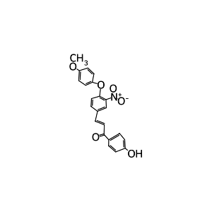 COc1ccc(Oc2ccc(/C=C/C(=O)c3ccc(O)cc3)cc2[N+](=O)[O-])cc1